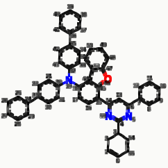 C1=CCC(c2nc(-c3ccccc3)cc(-c3ccc(N(c4ccc(-c5ccccc5)cc4)c4ccc(-c5ccccc5)cc4)c4c3oc3ccccc34)n2)C=C1